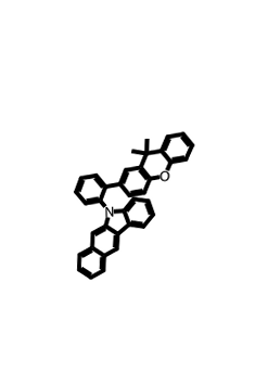 CC1(C)c2ccccc2Oc2ccc(-c3ccccc3-n3c4ccccc4c4cc5ccccc5cc43)cc21